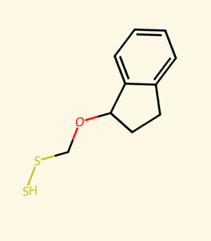 SSCOC1CCc2ccccc21